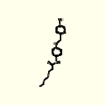 CCCCCCC(=O)Nc1ccc(NCc2ccc(O)cc2)cc1